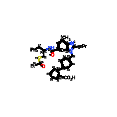 CCCc1nc2c(C)cc(C(=O)N[C@@H](CSC(=O)CC)CC(C)C)cc2n1Cc1ccc(-c2ccccc2C(=O)O)cc1